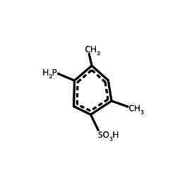 Cc1cc(C)c(S(=O)(=O)O)cc1P